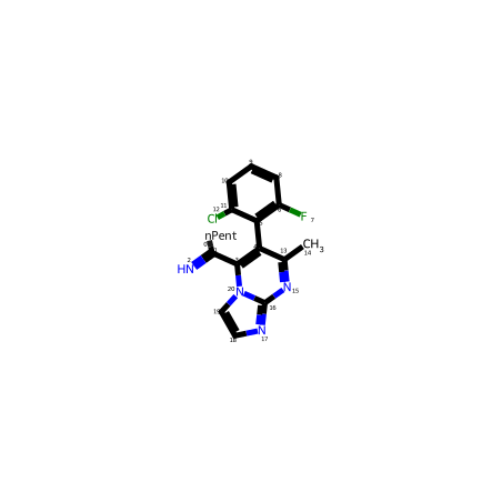 CCCCCC(=N)c1c(-c2c(F)cccc2Cl)c(C)nc2nccn12